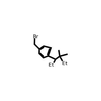 CCC(c1ccc(CBr)cc1)C(C)(C)CC